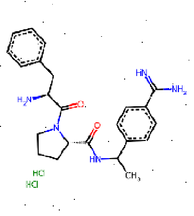 CC(NC(=O)[C@@H]1CCCN1C(=O)[C@@H](N)Cc1ccccc1)c1ccc(C(=N)N)cc1.Cl.Cl